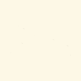 CC(=O)Nc1cn(C(=O)OC(C)(C)C)c2ccc(CCNc3ccc(C(F)(F)F)nc3)cc12